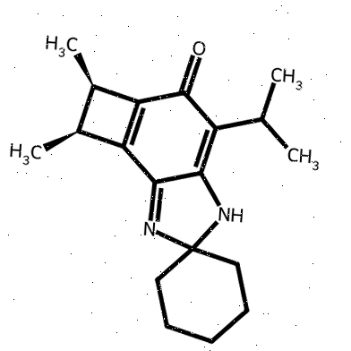 CC(C)C1=C2NC3(CCCCC3)N=C2C2=C(C1=O)[C@H](C)[C@@H]2C